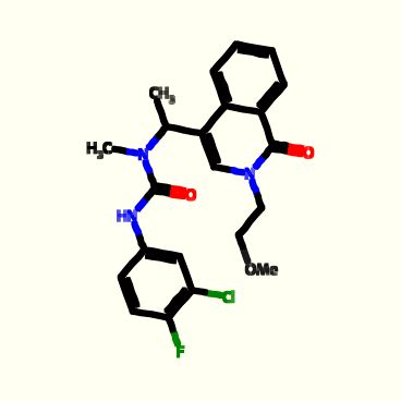 COCCn1cc(C(C)N(C)C(=O)Nc2ccc(F)c(Cl)c2)c2ccccc2c1=O